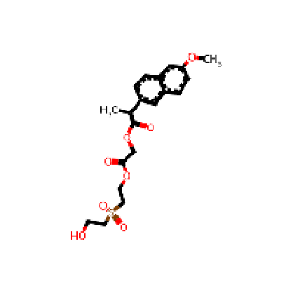 COc1ccc2cc(C(C)C(=O)OCC(=O)OCCS(=O)(=O)CCO)ccc2c1